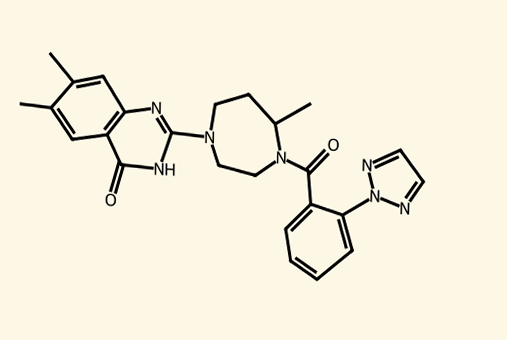 Cc1cc2nc(N3CCC(C)N(C(=O)c4ccccc4-n4nccn4)CC3)[nH]c(=O)c2cc1C